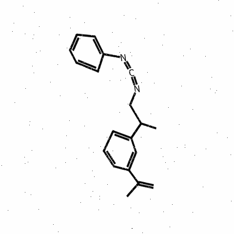 C=C(C)c1cccc(C(C)CN=C=Nc2ccccc2)c1